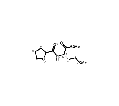 COC(=O)[C@H](CCSC)NC(=O)C1CCCO1